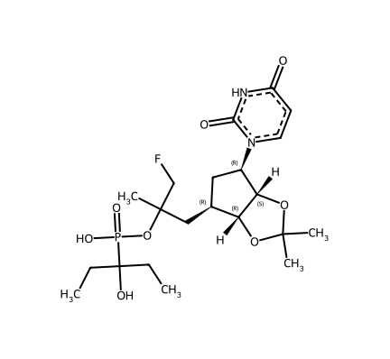 CCC(O)(CC)P(=O)(O)OC(C)(CF)C[C@H]1C[C@@H](n2ccc(=O)[nH]c2=O)[C@@H]2OC(C)(C)O[C@H]12